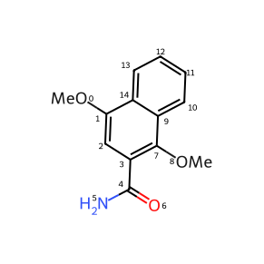 COc1cc(C(N)=O)c(OC)c2ccccc12